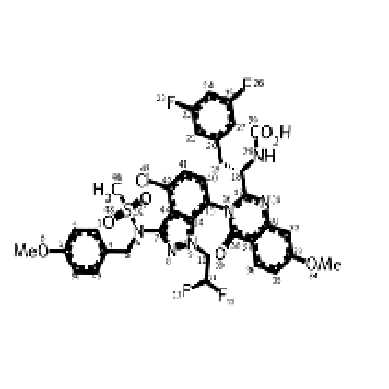 COc1ccc(CN(c2nn(CC(F)F)c3c(-n4c([C@H](Cc5cc(F)cc(F)c5)NC(=O)O)nc5cc(OC)ccc5c4=O)ccc(Cl)c23)S(C)(=O)=O)cc1